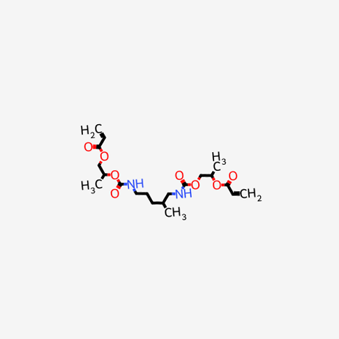 C=CC(=O)OCC(C)OC(=O)NCCCC(C)CNC(=O)OCC(C)OC(=O)C=C